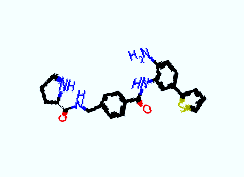 Nc1ccc(-c2cccs2)cc1NC(=O)c1ccc(CNC(=O)[C@@H]2CCCN2)cc1